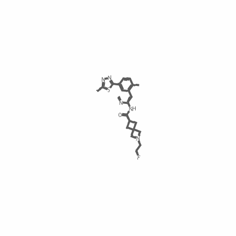 C=N/C(=C\c1cc(-c2nnc(C)s2)ccc1C)NC(=O)C1CC2(C1)CN(CCF)C2